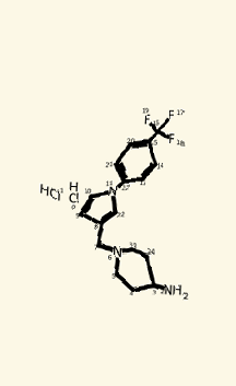 Cl.Cl.NC1CCN(Cc2ccn(-c3ccc(C(F)(F)F)cc3)c2)CC1